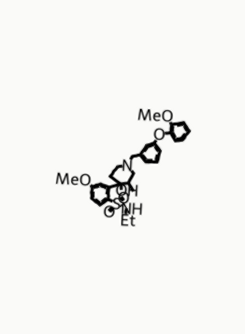 CCNS(=O)(=O)c1ccc(OC)cc1C1(O)CCN(Cc2cccc(Oc3ccccc3OC)c2)CC1C